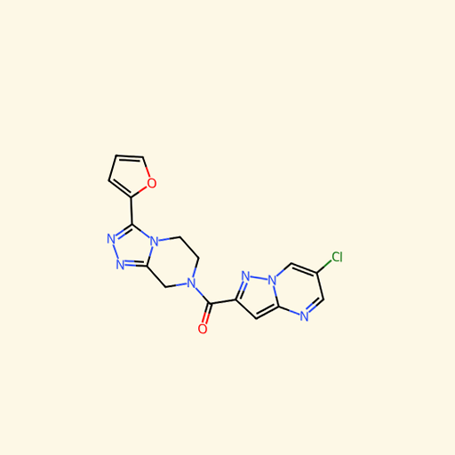 O=C(c1cc2ncc(Cl)cn2n1)N1CCn2c(nnc2-c2ccco2)C1